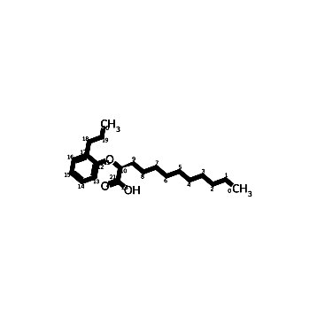 CCCCCCCCCC[C@H](Oc1ccccc1CCC)C(=O)O